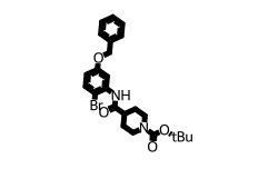 CC(C)(C)OC(=O)N1CCC(C(=O)Nc2cc(OCc3ccccc3)ccc2Br)CC1